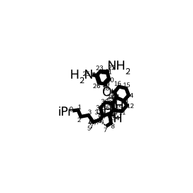 CC(C)CCC[C@@H](C)[C@H]1CC[C@H]2[C@@H]3CCC4CCCC(Oc5cc(N)cc(N)c5)[C@]4(C)[C@H]3CC[C@]12C